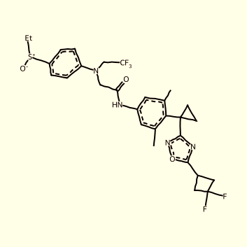 CC[S+]([O-])c1ccc(N(CC(=O)Nc2cc(C)c(C3(c4noc(C5CC(F)(F)C5)n4)CC3)c(C)c2)CC(F)(F)F)cc1